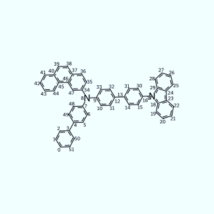 c1ccc(-c2ccc(N(c3ccc(-c4ccc(-n5c6ccccc6c6ccccc65)cc4)cc3)c3ccc4ccc5ccccc5c4c3)cc2)cc1